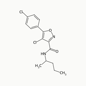 CCCC(C)NC(=O)c1noc(-c2ccc(Cl)cc2)c1Cl